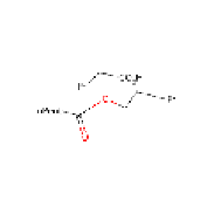 CC(C)CC(=O)O.CCCCCC(=O)OCCC(C)C